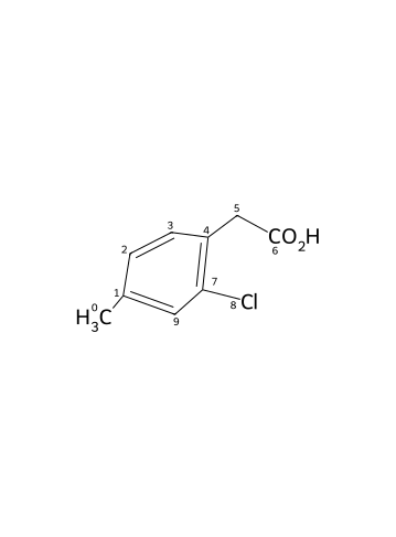 Cc1ccc(CC(=O)O)c(Cl)c1